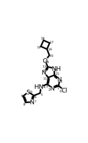 Clc1nc(NCc2nccs2)c2nc(OCC3CCC3)[nH]c2n1